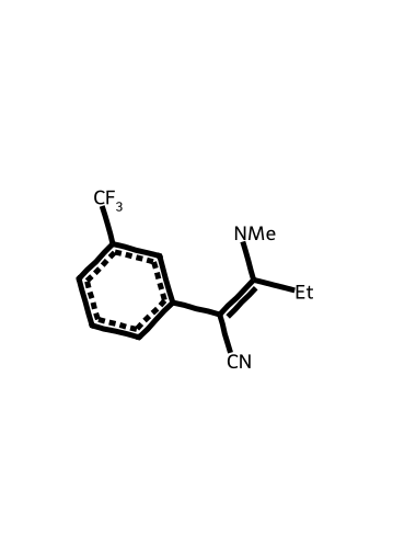 CCC(NC)=C(C#N)c1cccc(C(F)(F)F)c1